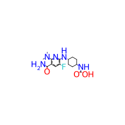 CN(C)c1nc(N[C@H]2CC[C@H](NC(=O)O)CC2)c(F)cc1C(N)=O